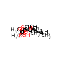 C=C(C)C=CC=CCC(C)C(OC)C(C)CCc1oc2c(O)c(OC)cc(OC)c2c(=O)c1C